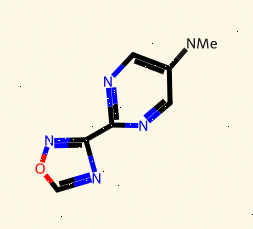 CNc1cnc(-c2ncon2)nc1